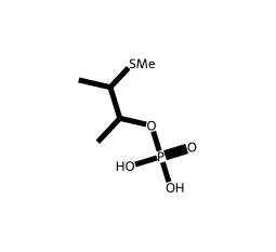 CSC(C)C(C)OP(=O)(O)O